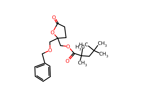 CC(C)(C)CC(C)(C)C(=O)OCC1(COCc2ccccc2)CCC(=O)O1